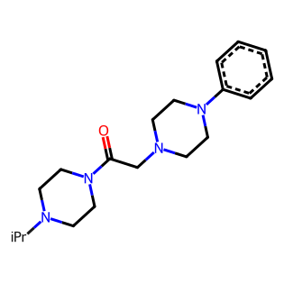 CC(C)N1CCN(C(=O)CN2CCN(c3ccccc3)CC2)CC1